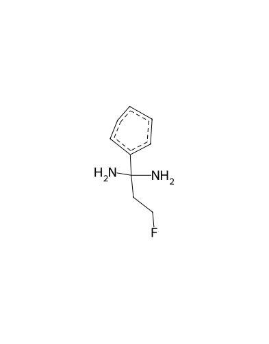 NC(N)(CCF)c1ccccc1